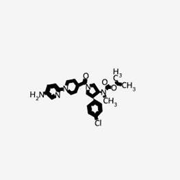 CC(C)OC(=O)N(C)[C@@H]1CN(C(=O)C2CCN(c3ccc(N)cn3)CC2)C[C@H]1c1ccc(Cl)cc1